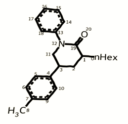 CCCCCCC1CC(c2ccc(C)cc2)CN(c2ccccc2)C1=O